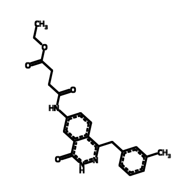 CCOC(=O)CCC(=O)Nc1ccc2c(Cc3cccc(C)c3)n[nH]c(=O)c2c1